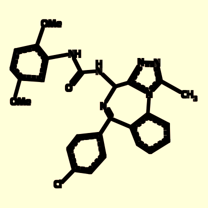 COc1ccc(OC)c(NC(=O)NC2N=C(c3ccc(Cl)cc3)c3ccccc3-n3c(C)nnc32)c1